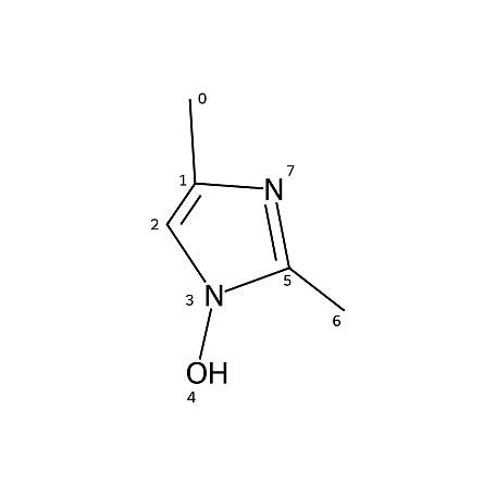 Cc1cn(O)c(C)n1